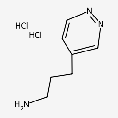 Cl.Cl.NCCCc1ccnnc1